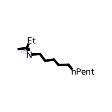 CCCCCCCCCC/N=C(/C)CC